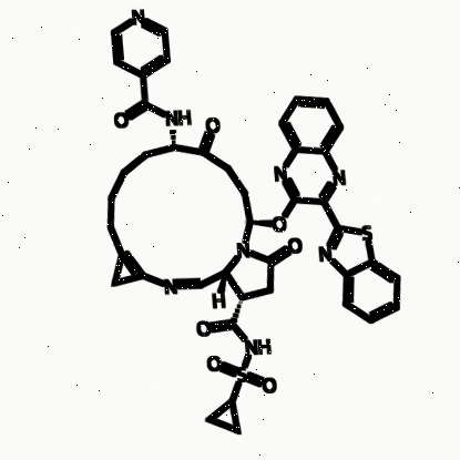 O=C(N[C@H]1CCCCC2=C(C2)/N=C\[C@H]2[C@@H](C(=O)NS(=O)(=O)C3CC3)CC(=O)N2[C@H](Oc2nc3ccccc3nc2-c2nc3ccccc3s2)CCC1=O)c1ccncc1